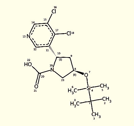 CC(C)(C)[Si](C)(C)O[C@@H]1C[C@@H](c2cncc(Cl)c2Cl)N(C(=O)O)C1